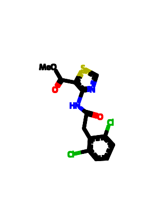 COC(=O)c1scnc1NC(=O)Cc1c(Cl)cccc1Cl